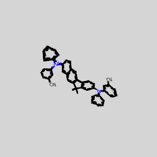 CC1(C)c2cc(N(c3ccccc3)c3cccc(C#N)c3)ccc2-c2cc3ccc(N(c4ccccc4)c4cccc(C#N)c4)cc3cc21